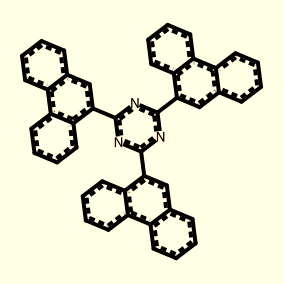 c1ccc2c(c1)cc(-c1nc(-c3cc4ccccc4c4ccccc34)nc(-c3cc4ccccc4c4ccccc34)n1)c1ccccc12